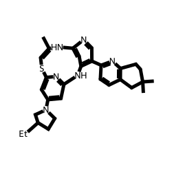 CCC1CCN(c2cc3nc(c2)scc(C)[nH]c2cc([nH]3)c(-c3ccc4c(n3)CCC(C)(C)C4)cn2)C1